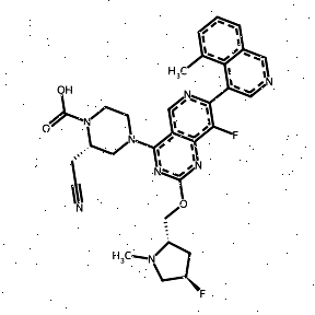 Cc1cccc2cncc(-c3ncc4c(N5CCN(C(=O)O)[C@@H](CC#N)C5)nc(OC[C@@H]5C[C@@H](F)CN5C)nc4c3F)c12